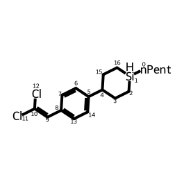 CCCCC[SiH]1CCC(c2ccc(C=C(Cl)Cl)cc2)CC1